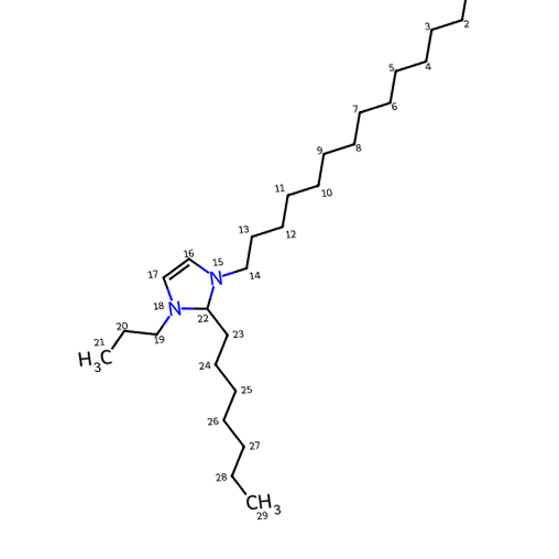 CCCCCCCCCCCCCCCN1C=CN(CCC)C1CCCCCCC